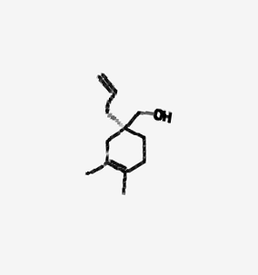 C=CC[C@]1(CO)CCC(C)=C(C)C1